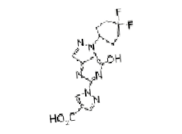 O=C(O)c1cnn(-c2nc(O)c3c(cnn3C3CCC(F)(F)CC3)n2)c1